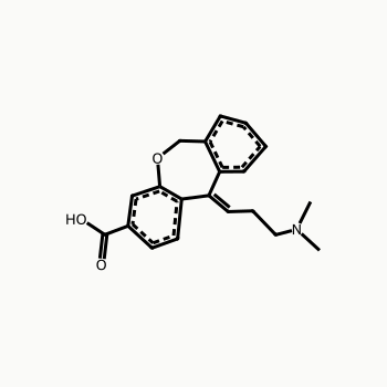 CN(C)CC/C=C1\c2ccccc2COc2cc(C(=O)O)ccc21